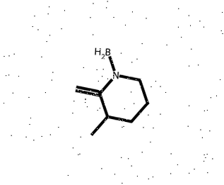 BN1CCCC(C)C1=C